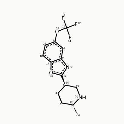 C[C@@H]1CC[C@@H](c2nc3cc(OC(F)(F)F)ccc3o2)CN1